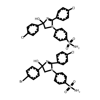 NS(=O)(=O)c1ccc(N2CC(O)(c3ccc(Br)cc3)N=C2c2ccc(Cl)cc2)cc1.NS(=O)(=O)c1ccc(N2CC(O)(c3ccc(Cl)cc3)N=C2c2ccc(Cl)cc2)cc1